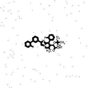 Cc1cn2cc(-c3cccc(-c4ccccc4F)c3)nc2c(-c2ccccc2F)c1[C@H](OC(C)(C)C)C(=O)O